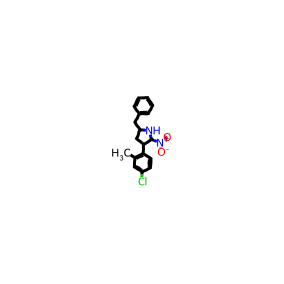 Cc1cc(Cl)ccc1C1CC(Cc2ccccc2)NC1[N+](=O)[O-]